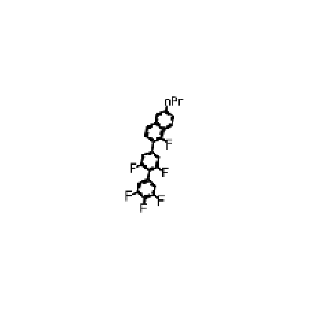 CCCc1ccc2c(F)c(-c3cc(F)c(-c4cc(F)c(F)c(F)c4)c(F)c3)ccc2c1